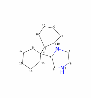 C1CCC(C2(C3CNCC[N]3)CCCCC2)CC1